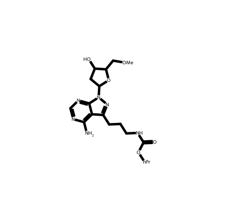 CCCOC(=O)NCCCc1nn(C2CC(O)C(COC)O2)c2ncnc(N)c12